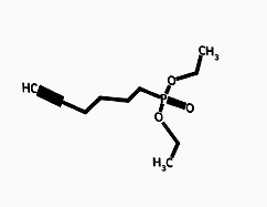 C#CCCCCP(=O)(OCC)OCC